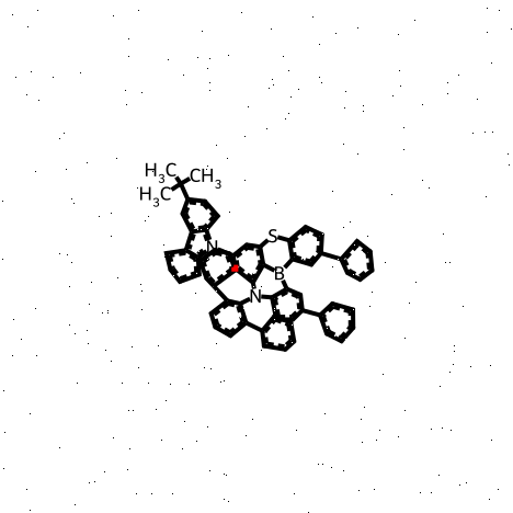 CC(C)(C)c1ccc2c(c1)c1ccccc1n2-c1cc2c3c(c1)N(c1c(-c4ccccc4)cccc1-c1ccccc1)c1ccc(-c4ccccc4)cc1B3c1cc(-c3ccccc3)ccc1S2